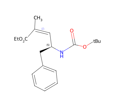 CCOC(=O)/C(C)=C\[C@H](Cc1ccccc1)NC(=O)OC(C)(C)C